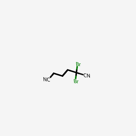 N#CCCCC(Br)(Br)C#N